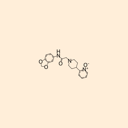 O=C(CN1CCC(c2cccc[n+]2[O-])CC1)Nc1ccc2c(c1)OCO2